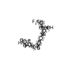 CC(C)(O)c1cc2nn(C3CCC(N4CCN(C(=O)[C@@H]5CCN(c6cc(F)c([C@H]7CCC(=O)NC7=O)c(F)c6)C5)CC4)CC3)cc2cc1NC(=O)c1cccc(C(F)(F)F)n1